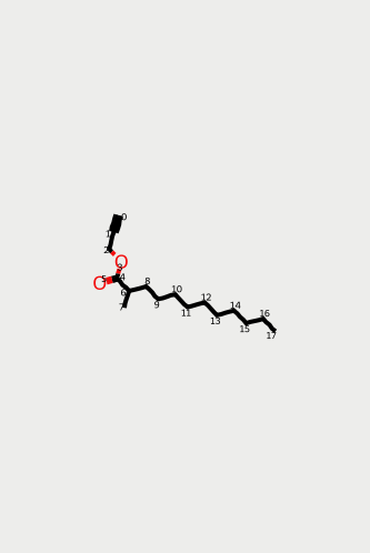 C#CCOC(=O)C(C)CCCCCCCCCC